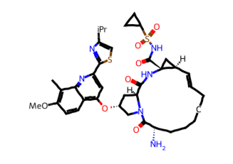 COc1ccc2c(O[C@@H]3C[C@H]4C(=O)N[C@]5(C(=O)NS(=O)(=O)C6CC6)C[C@H]5/C=C/CCCCC[C@H](N)C(=O)N4C3)cc(-c3nc(C(C)C)cs3)nc2c1C